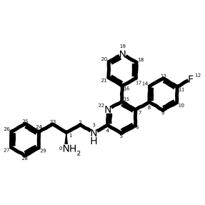 N[C@H](CNc1ccc(-c2ccc(F)cc2)c(-c2ccncc2)n1)Cc1ccccc1